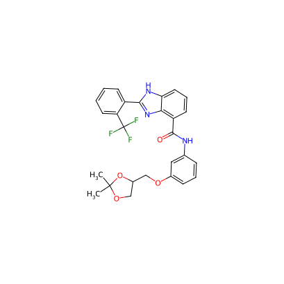 CC1(C)OCC(COc2cccc(NC(=O)c3cccc4[nH]c(-c5ccccc5C(F)(F)F)nc34)c2)O1